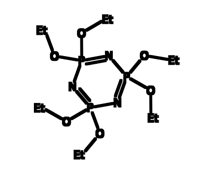 CCOP1(OCC)=NP(OCC)(OCC)=NP(OCC)(OCC)=N1